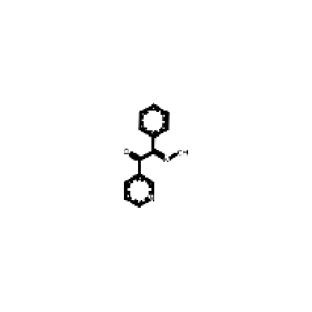 O=C(/C(=N/O)c1ccccc1)c1cccnc1